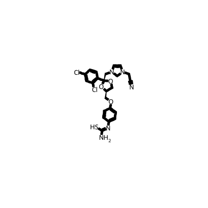 N#CCN1C=CN(C[C@@]2(c3ccc(Cl)cc3Cl)OC[C@@H](COc3ccc(N=C(N)S)cc3)O2)C1